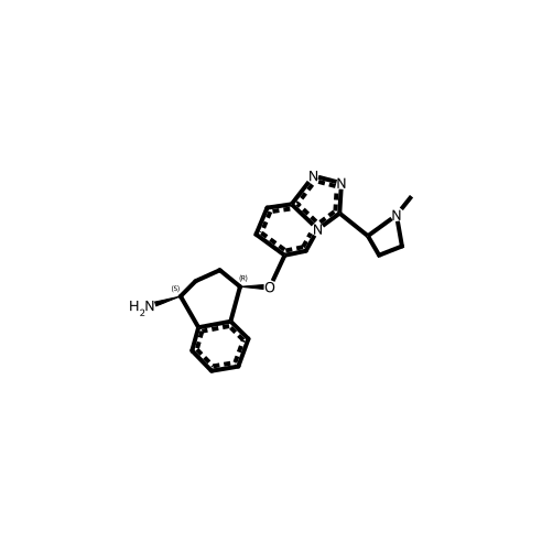 CN1CCC1c1nnc2ccc(O[C@@H]3CC[C@H](N)c4ccccc43)cn12